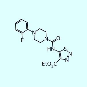 CCOC(=O)c1nnsc1NC(=O)N1CCN(c2ccccc2F)CC1